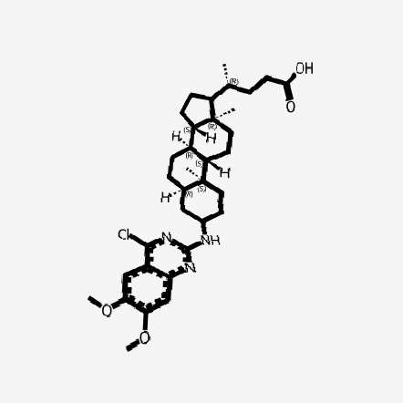 COc1cc2nc(NC3CC[C@@]4(C)[C@H](CC[C@@H]5[C@@H]4CC[C@]4(C)C([C@H](C)CCC(=O)O)CC[C@@H]54)C3)nc(Cl)c2cc1OC